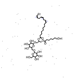 CC/C=C\C/C=C\C/C=C\CCCCCCCC(=O)OC(COC(=O)CCCCCCCCCCCCCCC)COC1OC(COC2OC(CO)C(O)C(O)C2O)C(O)C(O)C1O